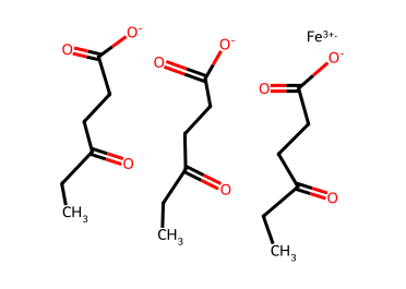 CCC(=O)CCC(=O)[O-].CCC(=O)CCC(=O)[O-].CCC(=O)CCC(=O)[O-].[Fe+3]